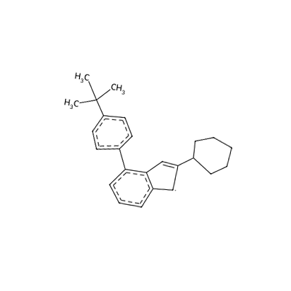 CC(C)(C)c1ccc(-c2cccc3c2C=C(C2CCCCC2)[CH]3)cc1